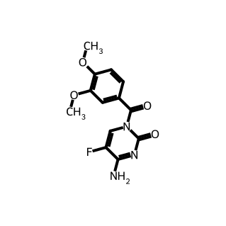 COc1ccc(C(=O)n2cc(F)c(N)nc2=O)cc1OC